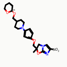 CC1(COc2ccc(N3CCC(CO[C@@H]4CCCCO4)CC3)cc2)Cn2cc([N+](=O)[O-])nc2O1